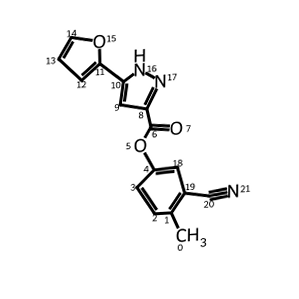 Cc1ccc(OC(=O)c2cc(-c3ccco3)[nH]n2)cc1C#N